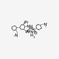 CC(C)c1cc(-c2ccccc2CN(C)C)cc(C(C)C)c1NC(=O)N=S(N)(=O)c1ccc(CN(C)C)cc1